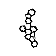 c1ccc2c(c1)sc1ccc(-c3ccc4c5c3c3ccccc3c3ccc6c7ccccc7n4c6c35)cc12